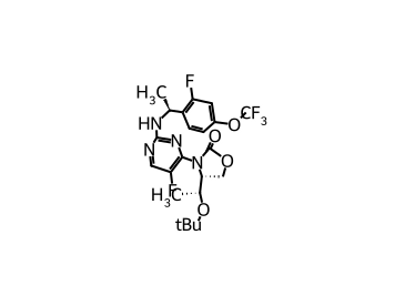 C[C@H](Nc1ncc(F)c(N2C(=O)OC[C@@H]2[C@@H](C)OC(C)(C)C)n1)c1ccc(OC(F)(F)F)cc1F